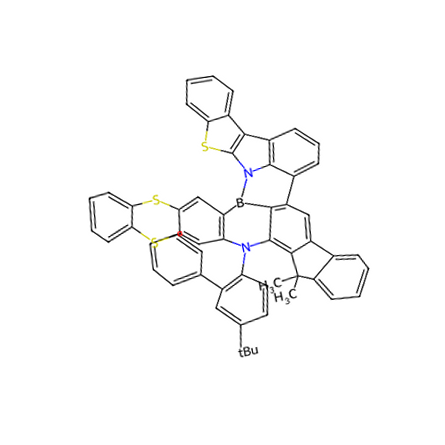 CC(C)(C)c1ccc(N2c3cc4c(cc3B3c5c(cc6c(c52)C(C)(C)c2ccccc2-6)-c2cccc5c6c7ccccc7sc6n3c25)Sc2ccccc2S4)c(-c2ccccc2)c1